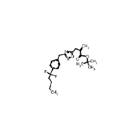 C=C(Cc1nc(Cc2ccc(C(F)(F)CCCC)cc2)no1)C(=O)OC(C)(C)C